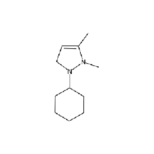 CC1=CCN(C2CCCCC2)N1C